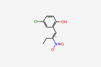 CC/C(=C\c1cc(Cl)ccc1O)[N+](=O)[O-]